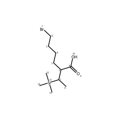 CC(C(CCCCBr)C(=O)O)[Si](C)(C)C